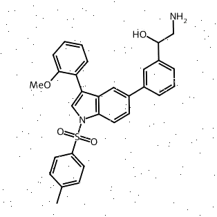 COc1ccccc1-c1cn(S(=O)(=O)c2ccc(C)cc2)c2ccc(-c3cccc(C(O)CN)c3)cc12